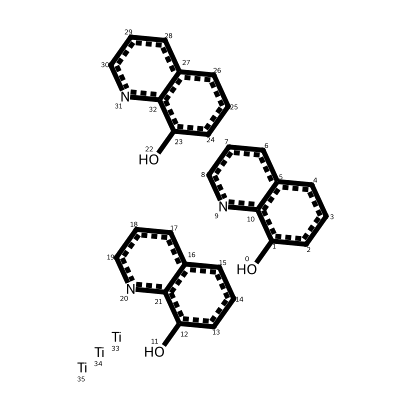 Oc1cccc2cccnc12.Oc1cccc2cccnc12.Oc1cccc2cccnc12.[Ti].[Ti].[Ti]